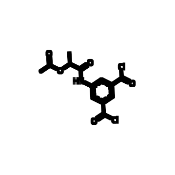 CC(=O)OC(C)C(=O)Nc1cc(C(=O)Cl)cc(C(=O)Cl)c1